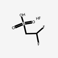 F.O=S(=O)(O)CC(F)F